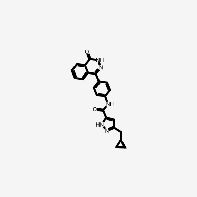 O=C(Nc1ccc(-c2n[nH]c(=O)c3ccccc23)cc1)c1cc(CC2CC2)n[nH]1